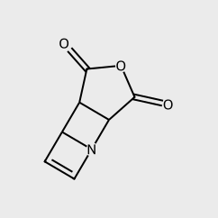 O=C1OC(=O)C2C1C1C=CN12